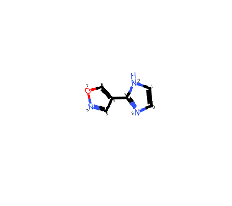 c1c[nH]c(-c2cnoc2)n1